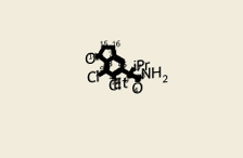 CCC(C(N)=O)(c1cc2c(c(Cl)c1Cl)C(=O)CC2)C(C)C